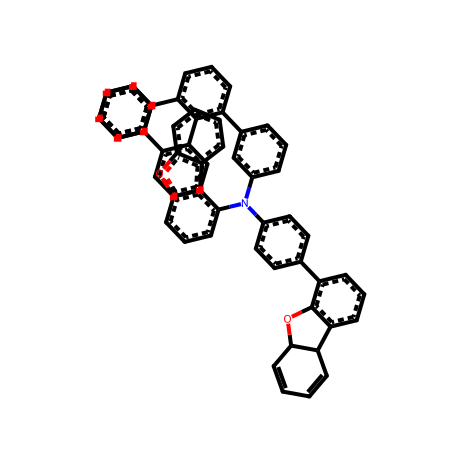 C1=CC2Oc3c(-c4ccc(N(c5cccc(-c6cccc(-c7ccccc7)c6-c6ccccc6-c6ccccc6)c5)c5cccc6oc7ccccc7c56)cc4)cccc3C2C=C1